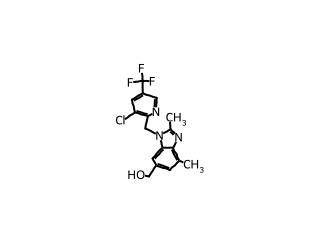 Cc1cc(CO)cc2c1nc(C)n2Cc1ncc(C(F)(F)F)cc1Cl